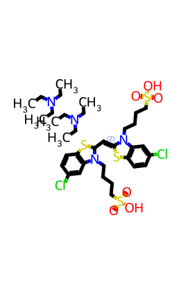 CCN(CC)CC.CCN(CC)CC.O=S(=O)(O)CCCCN1/C(=C/C2Sc3ccc(Cl)cc3N2CCCCS(=O)(=O)O)Sc2ccc(Cl)cc21